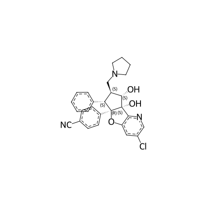 N#Cc1ccc([C@@]23Oc4cc(Cl)cnc4[C@]2(O)[C@@H](O)[C@H](CN2CCCC2)[C@H]3c2ccccc2)cc1